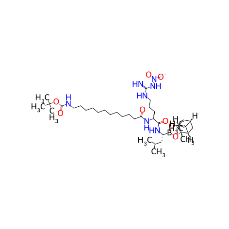 CC(C)C[C@H](NC(=O)[C@H](CCCNC(=N)N[N+](=O)[O-])NC(=O)CCCCCCCCCCCNC(=O)OC(C)(C)C)B1O[C@@H]2C[C@@H]3C[C@@H](C3(C)C)[C@]2(C)O1